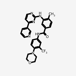 Cc1ccc(C(=O)Nc2ccc(N3CCOCC3)c(C(F)(F)F)c2)cc1Nc1nccc(-c2cccnc2)n1